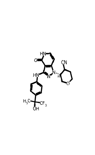 CC(O)(c1ccc(Nc2nn([C@H]3COCCC3C#N)c3cc[nH]c(=O)c23)cc1)C(F)(F)F